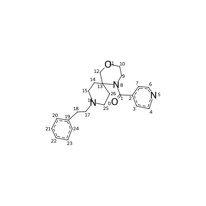 O=C(c1ccncc1)N1CCOCC12CCN(CCc1ccccc1)CC2